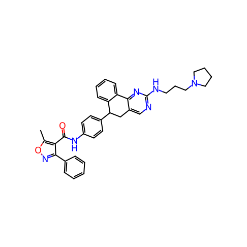 Cc1onc(-c2ccccc2)c1C(=O)Nc1ccc(C2Cc3cnc(NCCCN4CCCC4)nc3-c3ccccc32)cc1